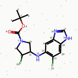 CC(C)(C)OC(=O)N1CC(F)C(Nc2cc3nc[nH]c3cc2F)C1